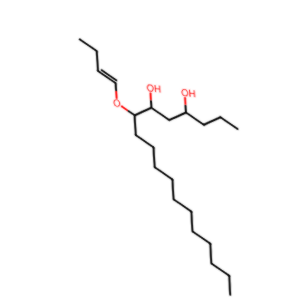 CCC=COC(CCCCCCCCCCC)C(O)CC(O)CCC